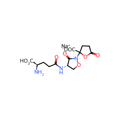 N[C@H](CCC(=O)N[C@H]1CON(C2(C(=O)[O-])CCC(=O)O2)C1=O)C(=O)O.[Na+]